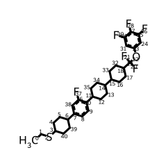 CCSC1CCC(c2ccc(C3CCC(C4CCC(C(F)(F)Oc5cc(F)c(F)c(F)c5)CC4)CC3)c(F)c2)CC1